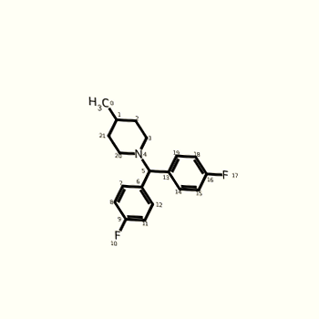 CC1CCN(C(c2ccc(F)cc2)c2ccc(F)cc2)CC1